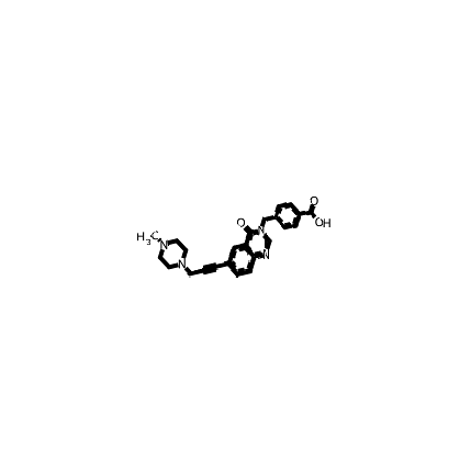 CN1CCN(CC#Cc2ccc3ncn(Cc4ccc(C(=O)O)cc4)c(=O)c3c2)CC1